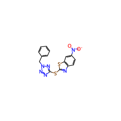 O=[N+]([O-])c1ccc2nc(Sc3nnn(Cc4ccccc4)n3)sc2c1